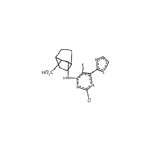 O=C(O)C1C2CCC(CC2)C1Nc1nc(Cl)nc(-c2nccs2)c1F